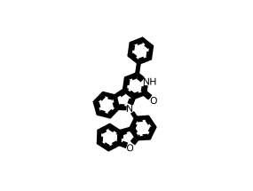 O=c1[nH]c(-c2ccccc2)cc2c3ccccc3n(-c3cccc4oc5ccccc5c34)c12